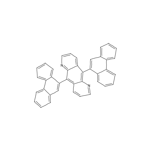 c1ccc2c(c1)cc(-c1c3cccnc3c(-c3cc4ccccc4c4ccccc34)c3cccnc13)c1ccccc12